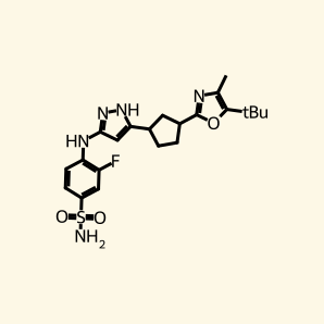 Cc1nc(C2CCC(c3cc(Nc4ccc(S(N)(=O)=O)cc4F)n[nH]3)C2)oc1C(C)(C)C